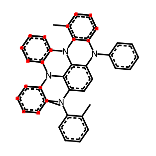 Cc1ccccc1N(c1ccccc1)c1ccc(N(c2ccccc2)c2ccccc2)c(N(c2ccccc2)c2ccccc2C)c1N(c1ccccc1)c1ccccc1C